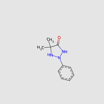 CC1(C)NN(c2ccccc2)NC1=O